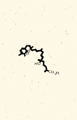 CCC12OC(C)(CC/C=C(\C)CCCC(C)(O)CCCC(C)C(=O)O)CCC1=CC=C(C)C2C